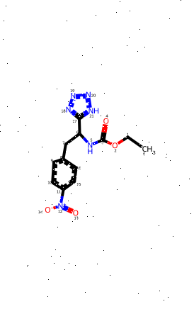 CCOC(=O)NC(Cc1ccc([N+](=O)[O-])cc1)c1nnn[nH]1